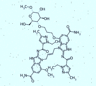 CCn1nc(C)cc1C(=O)/N=c1/[nH]c2cc(C(N)=O)cc(OC)c2n1C/C=C/Cn1/c(=N/C(=O)c2cc(C)nn2CC)[nH]c2cc(C(N)=O)cc(OCCCO[C@H]3[C@H](O)[C@@H](O)[C@@H](OC)O[C@@H]3CO)c21